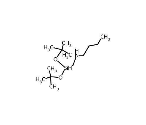 CCCCNC[SiH](OC(C)(C)C)OC(C)(C)C